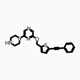 C(#Cc1ccc(COc2cncc(N3CCNCC3)n2)s1)c1ccccc1